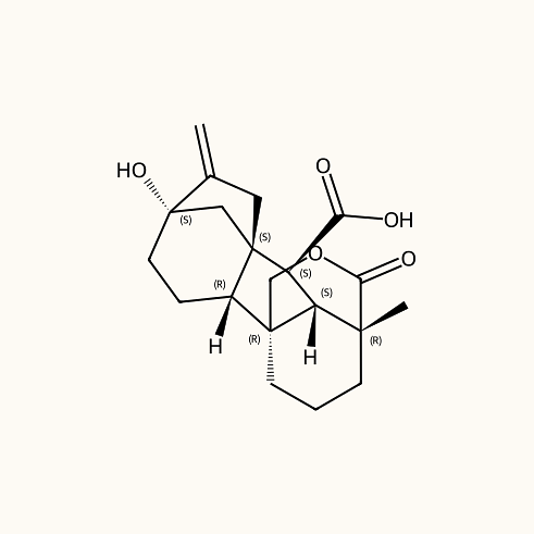 C=C1C[C@]23C[C@@]1(O)CC[C@H]2[C@@]12CCC[C@@](C)(C(=O)OC1)[C@H]2[C@@H]3C(=O)O